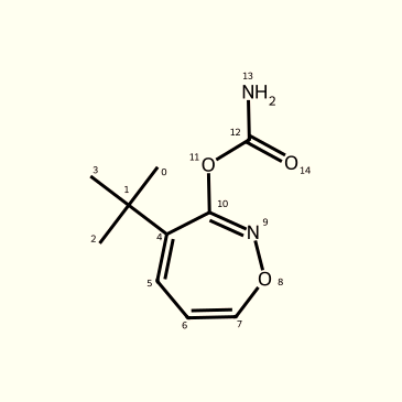 CC(C)(C)C1=CC=CON=C1OC(N)=O